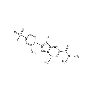 Cc1cc(S(=O)(=O)Cl)ccc1-c1nn2c(C)cc(C(=O)N(C)C)nc2c1C